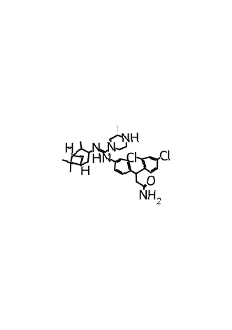 CC1C(/N=C(\Nc2ccc(C(CC(N)=O)c3ccc(Cl)cc3Cl)cc2)N2CCN[C@@H](C)C2)C[C@@H]2C[C@H]1C2(C)C